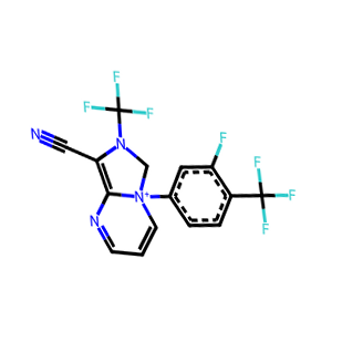 N#CC1=C2N=CC=C[N+]2(c2ccc(C(F)(F)F)c(F)c2)CN1C(F)(F)F